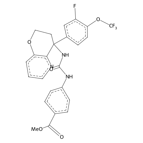 COC(=O)c1ccc(NC(=O)NC2(c3ccc(OC(F)(F)F)c(F)c3)CCOc3cccnc32)cc1